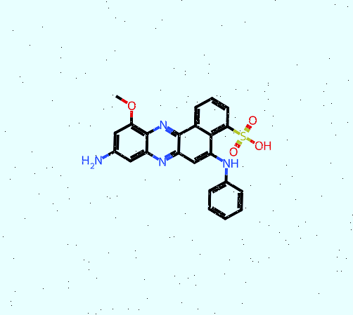 COc1cc(N)cc2nc3cc(Nc4ccccc4)c4c(S(=O)(=O)O)cccc4c3nc12